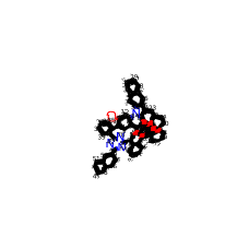 c1ccc(-c2ccc(-c3cc4c(cc3-n3c5cc6ccccc6cc5c5cc6ccccc6cc53)oc3cccc(-c5nc(-c6ccc7ccccc7c6)nc(-c6cc7ccccc7c7ccccc67)n5)c34)cc2)cc1